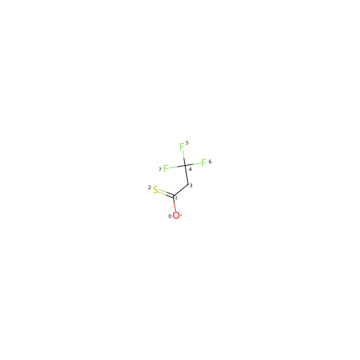 [O]C(=S)CC(F)(F)F